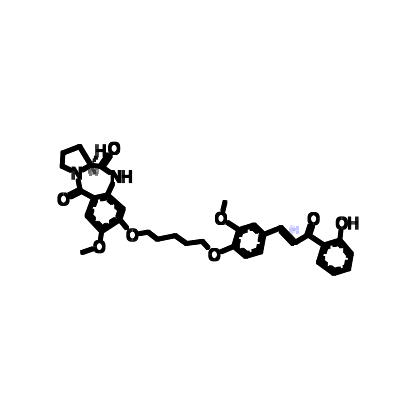 COc1cc(/C=C/C(=O)c2ccccc2O)ccc1OCCCCCOc1cc2c(cc1OC)C(=O)N1CCC[C@H]1C(=O)N2